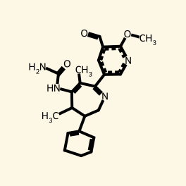 COc1ncc(C2=NCC(C3=CCCC=C3)C(C)C(NC(N)=O)=C2C)cc1C=O